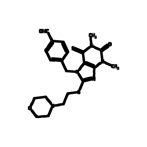 Cn1c(=S)c2c(nc(SCCN3CCOCC3)n2Cc2ccc(C=O)cc2)n(C)c1=O